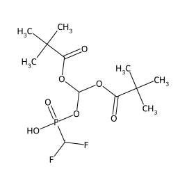 CC(C)(C)C(=O)OC(OC(=O)C(C)(C)C)OP(=O)(O)[C](F)F